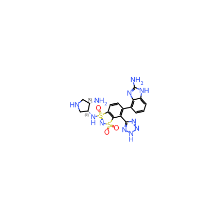 Nc1nc2c(-c3ccc4c(c3-c3nn[nH]n3)S(=O)(=O)N=S4(=O)N[C@@H]3CNC[C@@H]3N)cccc2[nH]1